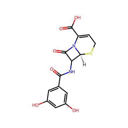 O=C(O)C1=CCS[C@H]2C(NC(=O)c3cc(O)cc(O)c3)C(=O)N12